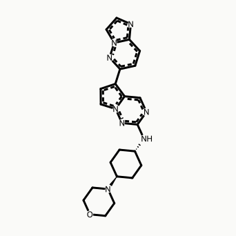 c1cn2nc(-c3ccn4nc(N[C@H]5CC[C@H](N6CCOCC6)CC5)ncc34)ccc2n1